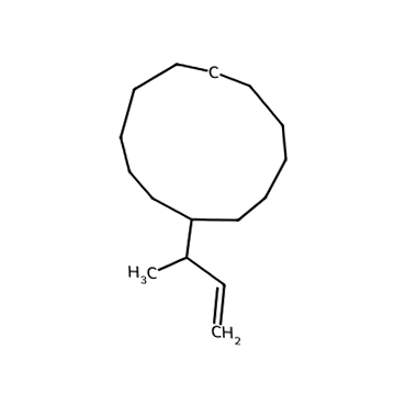 C=CC(C)C1CCCCCCCCCCC1